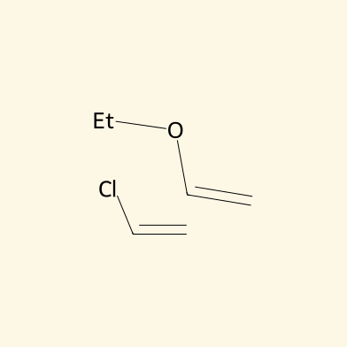 C=CCl.[CH2]COC=C